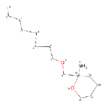 CCCCCCCCOCC1([SiH3])CCCCO1